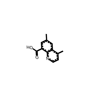 Cc1cc(C(=O)O)c2nccc(C)c2c1